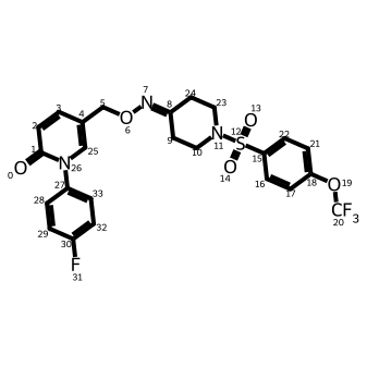 O=c1ccc(CON=C2CCN(S(=O)(=O)c3ccc(OC(F)(F)F)cc3)CC2)cn1-c1ccc(F)cc1